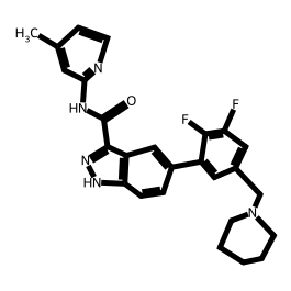 Cc1ccnc(NC(=O)c2n[nH]c3ccc(-c4cc(CN5CCCCC5)cc(F)c4F)cc23)c1